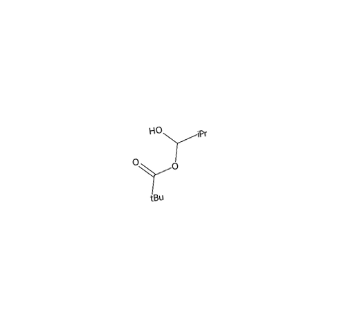 CC(C)C(O)OC(=O)C(C)(C)C